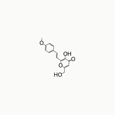 COc1ccc(C=Cc2oc(CO)cc(=O)c2O)cc1